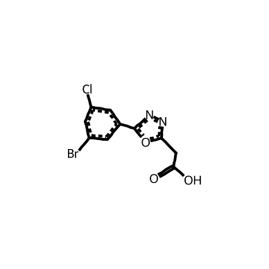 O=C(O)Cc1nnc(-c2cc(Cl)cc(Br)c2)o1